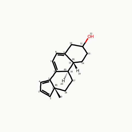 C[C@@]12C=CC=C1C1=CC=C3CC(O)CC[C@@H]3[C@H]1CC2